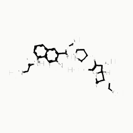 CC(SC(C)[C@@H]1C[C@H](SC2=C(C(=O)O)N3C(=O)[C@@H](CCO)[C@H]3[C@H]2C)CN1)c1cc2cccc(NC(=O)CN)c2cc1N